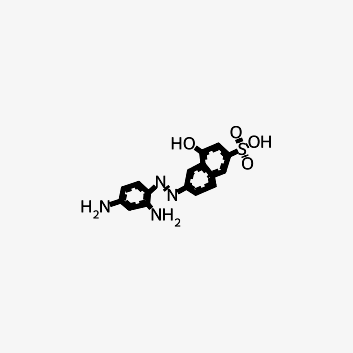 Nc1ccc(N=Nc2ccc3cc(S(=O)(=O)O)cc(O)c3c2)c(N)c1